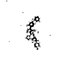 CN1CCN(C(C)(C)C=C(C#N)C(=O)N2CCC[C@H]2Cc2[nH]nc(-c3ccc(Oc4ccccc4)cc3F)c2N)CC1